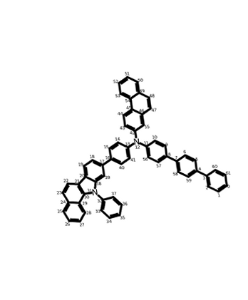 c1ccc(-c2ccc(-c3ccc(N(c4ccc(-c5ccc6c7ccc8ccccc8c7n(-c7ccccc7)c6c5)cc4)c4ccc5c(ccc6ccccc65)c4)cc3)cc2)cc1